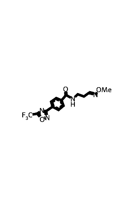 CON=CCCNC(=O)c1ccc(-c2noc(C(F)(F)F)n2)cc1